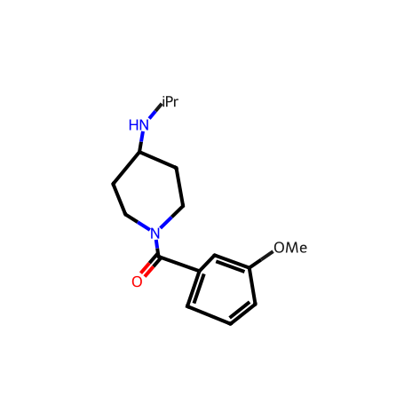 COc1cccc(C(=O)N2CCC(NC(C)C)CC2)c1